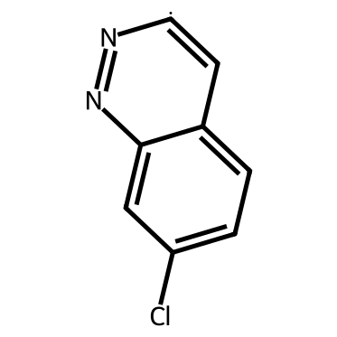 Clc1ccc2c[c]nnc2c1